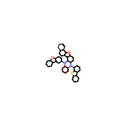 C1=Cc2c(ccc3c2oc2ccc(N(c4ccccc4)c4cccc5c4sc4ccccc45)c(N(c4ccccc4)c4ccc5oc6ccccc6c5c4)c23)CC1